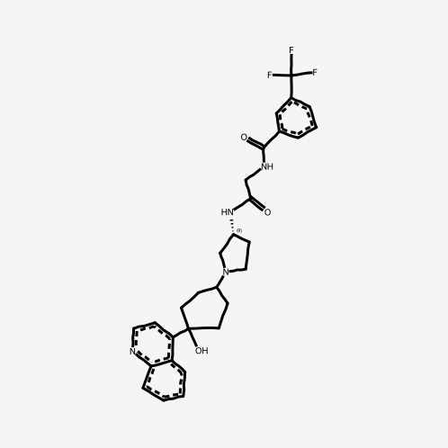 O=C(CNC(=O)c1cccc(C(F)(F)F)c1)N[C@@H]1CCN(C2CCC(O)(c3ccnc4ccccc34)CC2)C1